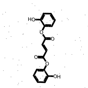 O=C(C=CC(=O)Oc1ccccc1O)Oc1ccccc1O